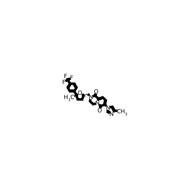 Cc1cn(-c2ccc3n(c2=O)CCN(C[C@@H]2CC[C@](C)(c4ccc(C(F)(F)F)cc4)O2)C3=O)cn1